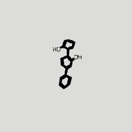 Oc1ccccc1-c1ccc(-c2ccccc2)cc1O